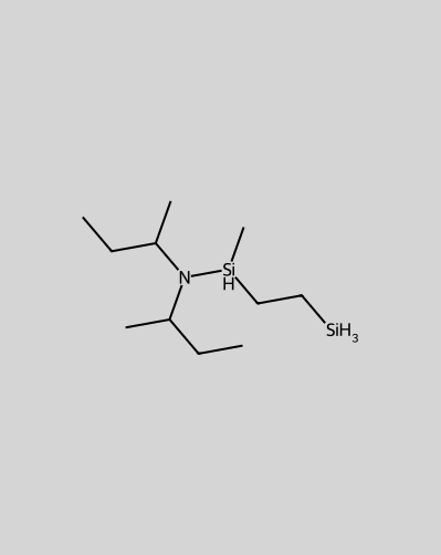 CCC(C)N(C(C)CC)[SiH](C)CC[SiH3]